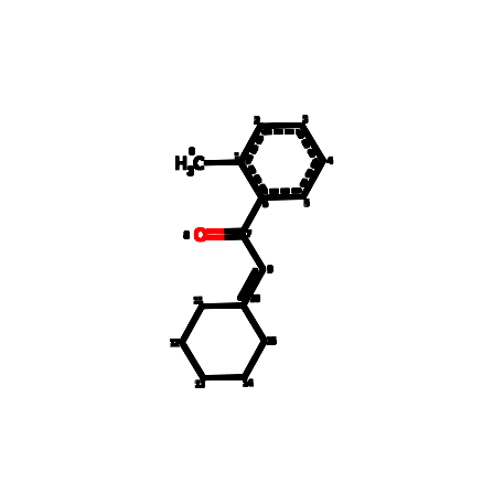 Cc1ccccc1C(=O)C=C1CCCCC1